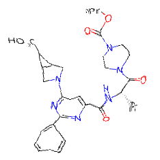 CCCOC(=O)N1CCN(C(=O)[C@@H](NC(=O)c2cc(N3CC4C(C3)C4C(=O)O)nc(-c3ccccc3)n2)C(C)C)CC1